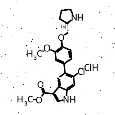 COC(=O)c1c[nH]c2cc(Cl)c(-c3ccc(OC[C@@H]4CCCN4)c(OC)c3)cc12.Cl